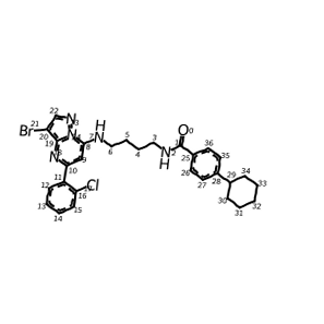 O=C(NCCCCNc1cc(-c2ccccc2Cl)nc2c(Br)cnn12)c1ccc(C2CCCCC2)cc1